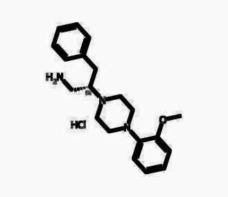 COc1ccccc1N1CCN([C@H](CN)Cc2ccccc2)CC1.Cl